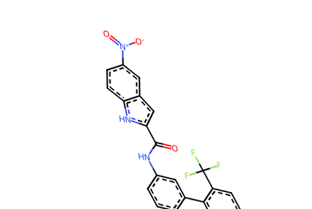 O=C(Nc1cccc(-c2ccccc2C(F)(F)F)c1)c1cc2cc([N+](=O)[O-])ccc2[nH]1